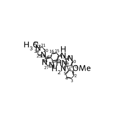 COc1ccccc1C1(N)C=CN=C(Nc2ccc3c(N4CCN(C)CC4)ncnc3c2)N1